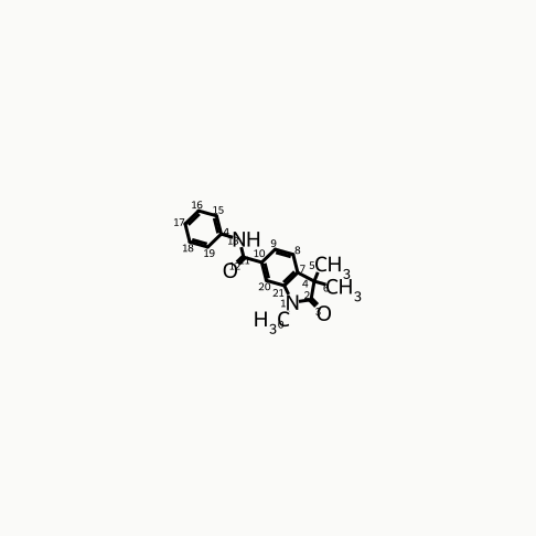 CN1C(=O)C(C)(C)c2ccc(C(=O)Nc3ccccc3)cc21